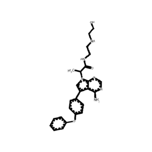 CC(C(=O)NCCNCCO)n1cc(-c2ccc(Oc3ccccc3)cc2)c2c(N)ncnc21